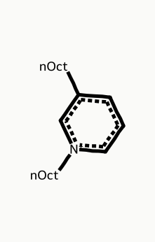 CCCCCCCCc1ccc[n+](CCCCCCCC)c1